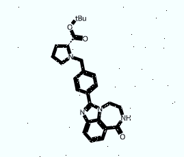 CC(C)(C)OC(=O)[C@H]1CCCN1Cc1ccc(-c2nc3cccc4c3n2CCNC4=O)cc1